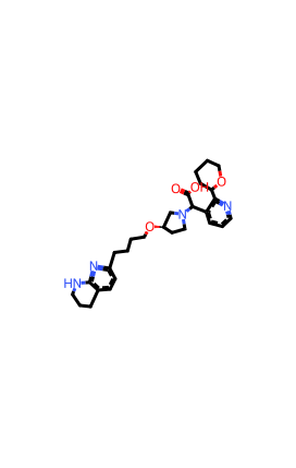 O=C(O)C(c1cccnc1C1CCCCO1)N1CC[C@@H](OCCCCc2ccc3c(n2)NCCC3)C1